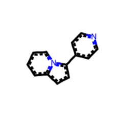 c1ccn2c(-c3ccncc3)ccc2c1